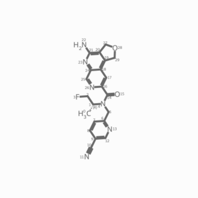 C[C@H](CF)N(Cc1ccc(C#N)cn1)C(=O)c1cc2c3c(c(N)nc2cn1)COC3